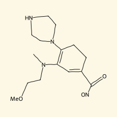 COCCN(C)C1=C(N2CCNCC2)CCC(C(=O)N=O)=C1